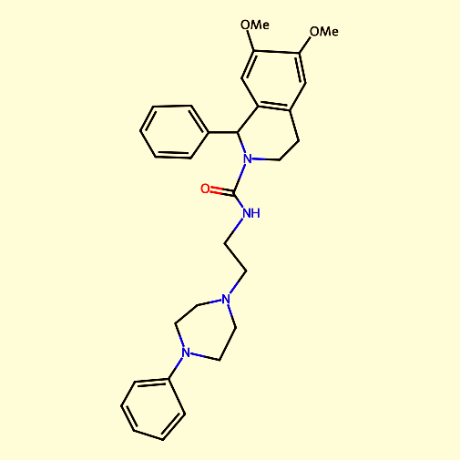 COc1cc2c(cc1OC)C(c1ccccc1)N(C(=O)NCCN1CCN(c3ccccc3)CC1)CC2